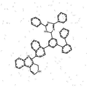 C1=Cc2c(c(-c3ccc(-c4cc(-c5ccccc5-c5ccccc5)cc(C5N=C(c6ccccc6)N=C(c6ccccc6)N5)c4)c4ccccc34)nc3ccccc23)CN1